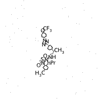 CCCc1ccc(C)cc1N1C(=O)CS/C1=N\C(=O)NCCC(C)c1ccc(-c2ncn(-c3ccc(OC(F)(F)F)cc3)n2)cc1